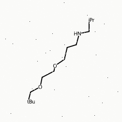 CC(C)CNCCCOCCOCC(C)(C)C